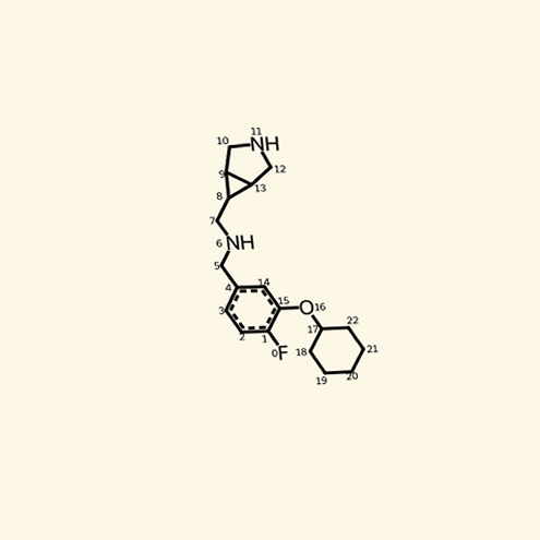 Fc1ccc(CNCC2C3CNCC23)cc1OC1CCCCC1